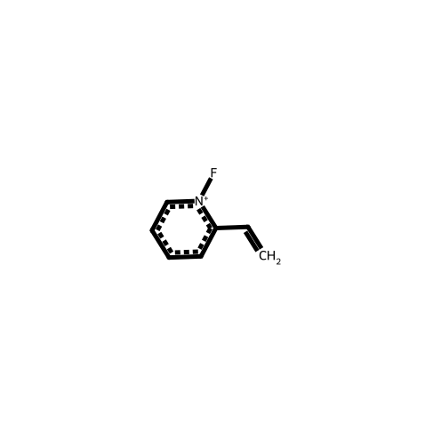 C=Cc1cccc[n+]1F